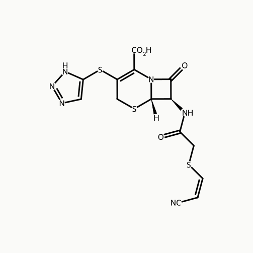 N#C/C=C\SCC(=O)N[C@@H]1C(=O)N2C(C(=O)O)=C(Sc3cnn[nH]3)CS[C@@H]12